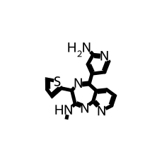 CNC1=Nc2ncccc2C(c2ccnc(N)c2)=NC1c1cccs1